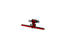 CCCCCCCCCCCCCCCCC=CO[C@H](COCCCCCCCCCCCCCCCC)COP(=O)(O)OCC[N+](C)(C)C.O=P(O)(O)OC[C@H](O)CO